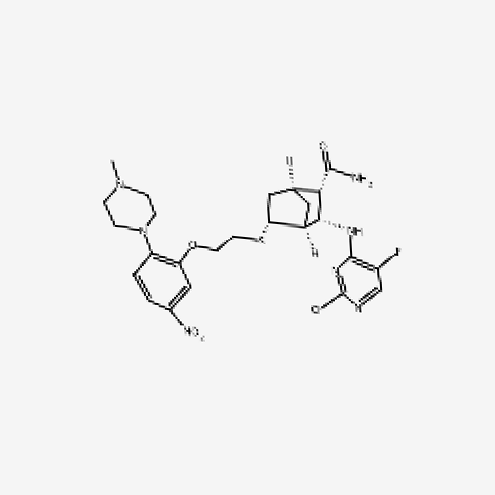 CN1CCN(c2ccc([N+](=O)[O-])cc2OCCS[C@@H]2C[C@@H]3C[C@H]2[C@@H](Nc2nc(Cl)ncc2F)[C@H]3C(N)=O)CC1